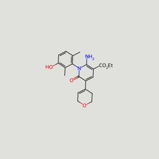 CCOC(=O)c1cc(C2=CCOCC2)c(=O)n(-c2c(C)ccc(O)c2C)c1N